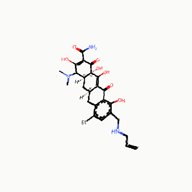 C=CCNCc1cc(CC)c2c(c1O)C(=O)C1=C(O)[C@]3(O)C(=O)C(C(N)=O)=C(O)C(N(C)C)[C@@H]3C[C@@H]1C2